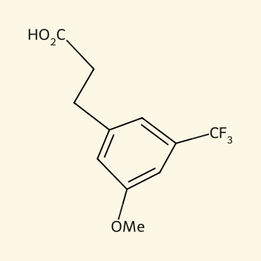 COc1cc(CCC(=O)O)cc(C(F)(F)F)c1